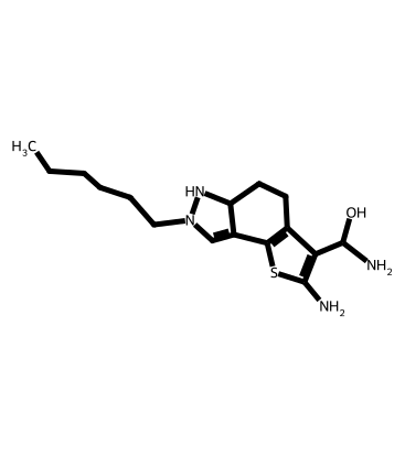 CCCCCCN1C=C2c3sc(N)c(C(N)O)c3CCC2N1